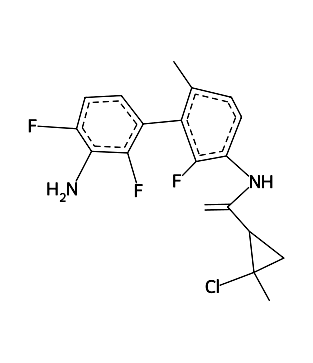 C=C(Nc1ccc(C)c(-c2ccc(F)c(N)c2F)c1F)C1CC1(C)Cl